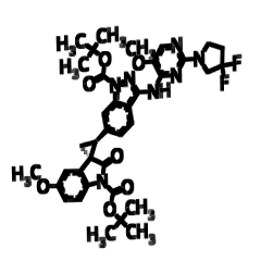 COc1ccc2c(c1)[C@]1(C[C@H]1c1ccc3c(Nc4nc(N5CCC(F)(F)C5)ncc4OC)nn(C(=O)OC(C)(C)C)c3c1)C(=O)N2C(=O)OC(C)(C)C